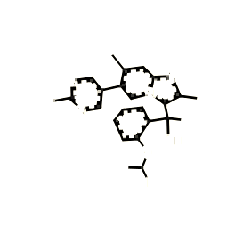 Cc1cc2nc(C)c(C(C)(O)c3ccccc3OC(F)F)n2cc1-c1cnc(Cl)nc1